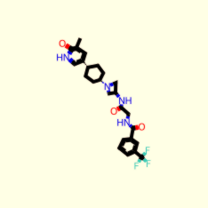 Cc1cc([C@H]2CC[C@@H](N3CC(NC(=O)CNC(=O)c4cccc(C(F)(F)F)c4)C3)CC2)c[nH]c1=O